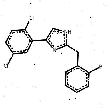 Clc1ccc(Cl)c(-c2c[nH]c(Cc3ccccc3Br)n2)c1